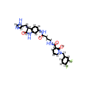 O=C(CCCNC(=O)c1cccn(Cc2ccc(F)c(F)c2)c1=O)Nc1ccc2c(c1)NC(=O)/C2=C\c1cnc[nH]1